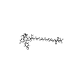 Cc1ccc2c(c1)C(c1ccc(Cl)cc1)=N[C@@H](CC(=O)NCCOCCOCCOCCOCCNC(=O)OC(C)(C)C)c1nnc(C)n1-2